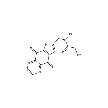 CCN(Cc1cc2c(o1)C(=O)c1cccnc1C2=O)C(=O)CC(C)C